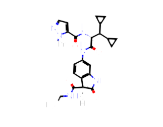 CC(C)n1nccc1C(=O)N[C@H](C(=O)Nc1ccc2c(c1)NC(=O)[C@@]2(C)C(=O)NCC(F)(F)F)C(C1CC1)C1CC1